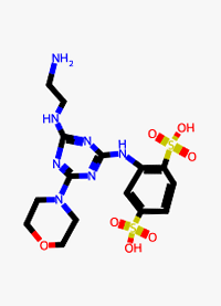 NCCNc1nc(Nc2cc(S(=O)(=O)O)ccc2S(=O)(=O)O)nc(N2CCOCC2)n1